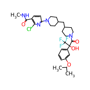 CNC(=O)c1ccc(N2CCC(CC3CCN(C(=O)[C@](O)(c4cccc(OC(C)C)c4)C(F)(F)F)CC3)CC2)nc1Cl